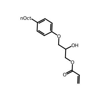 C=CC(=O)OCC(O)COc1ccc(CCCCCCCC)cc1